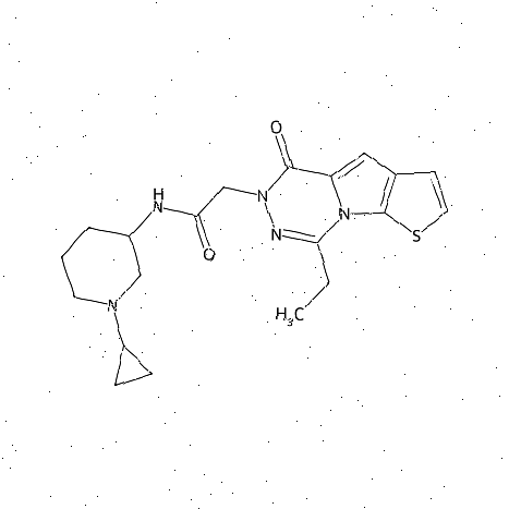 CCc1nn(CC(=O)NC2CCCN(C3CC3)C2)c(=O)c2cc3ccsc3n12